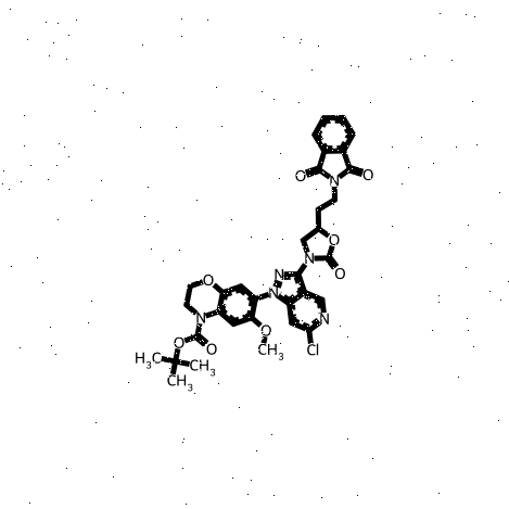 COc1cc2c(cc1-n1nc(N3CC(CCN4C(=O)c5ccccc5C4=O)OC3=O)c3cnc(Cl)cc31)OCCN2C(=O)OC(C)(C)C